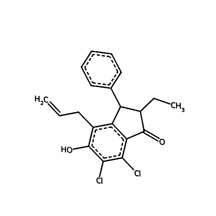 C=CCc1c(O)c(Cl)c(Cl)c2c1C(c1ccccc1)C(CC)C2=O